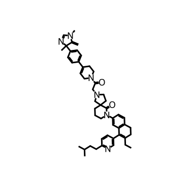 C=C1N(C)C=NC1(C)c1ccc(C2=CCN(C(=O)CN3CCC4(CCCN(c5ccc6c(c5)C(c5ccc(CCC(C)C)nc5)=C(CC)CC6)C4=O)C3)CC2)cc1